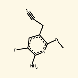 COc1nc(N)c(F)cc1CC#N